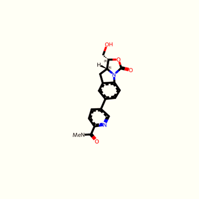 CNC(=O)c1ccc(-c2ccc3c(c2)C[C@@H]2[C@H](CO)OC(=O)N32)cn1